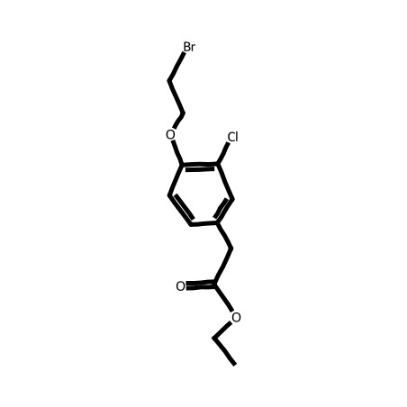 CCOC(=O)Cc1ccc(OCCBr)c(Cl)c1